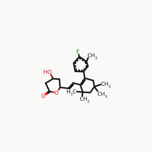 Cc1cc(C2=C(/C=C/C3CC(O)CC(=O)O3)C(C)(C)CC(C)(C)C2)ccc1F